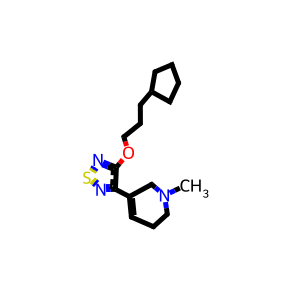 CN1CCC=C(c2nsnc2OCCCC2CCCC2)C1